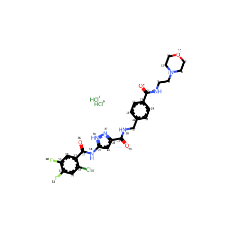 Cl.Cl.O=C(NCCN1CCOCC1)c1ccc(CNC(=O)c2cc(NC(=O)c3cc(F)c(F)cc3Cl)[nH]n2)cc1